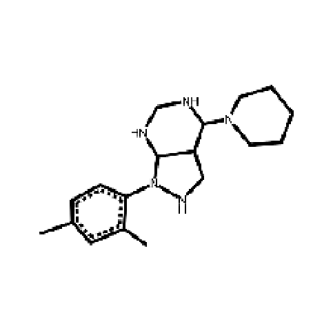 Cc1ccc(N2NCC3C(N4CCCCC4)NCNC32)c(C)c1